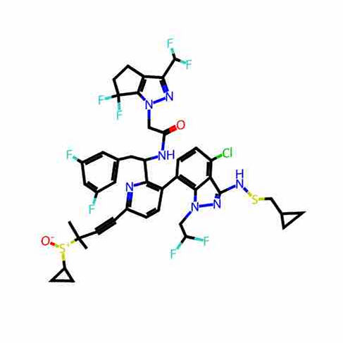 CC(C)(C#Cc1ccc(-c2ccc(Cl)c3c(NSCC4CC4)nn(CC(F)F)c23)c(C(Cc2cc(F)cc(F)c2)NC(=O)Cn2nc(C(F)F)c3c2C(F)(F)CC3)n1)[S+]([O-])C1CC1